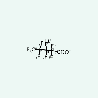 O=C([O-])C(F)(F)C(F)(F)C(F)(F)C(F)(F)F.[Li+]